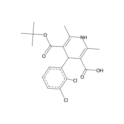 CC1=C(C(=O)O)C(c2cccc(Cl)c2Cl)C(C(=O)OC(C)(C)C)=C(C)N1